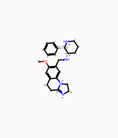 COc1cc2c(cc1CN[C@H]1CCCN[C@H]1c1ccccc1)N1CCN=C1CC2